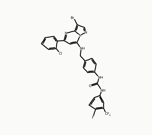 O=C(Nc1ccc(CNc2cc(-c3ccccc3Cl)nc3c(Br)cnn23)cc1)Nc1ccc(F)c(C(F)(F)F)c1